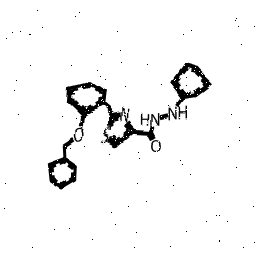 O=C(NNc1ccccc1)c1csc(-c2ccccc2OCc2ccccc2)n1